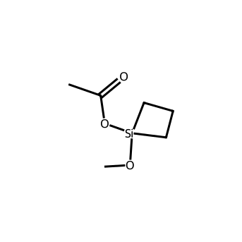 CO[Si]1(OC(C)=O)CCC1